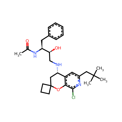 CC(=O)N[C@@H](Cc1ccccc1)[C@@H](O)CN[C@H]1CC2(CCC2)Oc2c1cc(CC(C)(C)C)nc2Cl